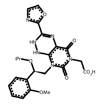 COc1ccccc1[C@H](Cn1c2c(c(=O)n(CC(=O)O)c1=O)N=C(c1ncco1)NN2)OC(C)C